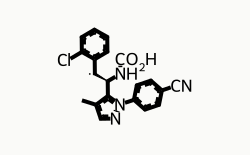 Cc1cnn(-c2ccc(C#N)cc2)c1[C@@H]([CH]c1ccccc1Cl)NC(=O)O